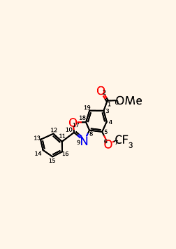 COC(=O)c1cc(OC(F)(F)F)c2nc(-c3ccccc3)oc2c1